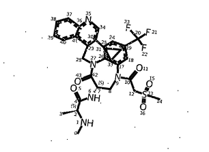 CN[C@@H](C)C(=O)N[C@H]1CN(C(=O)CS(C)(=O)=O)c2cc(C(F)(F)F)ccc2N(Cc2c(C3CC3)cnc3ccccc23)C1=O